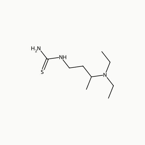 CCN(CC)C(C)CCNC(N)=S